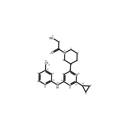 N#CCC(=O)N1CCCC(c2cc(Nc3cc(C(F)(F)F)ccn3)nc(C3CC3)n2)C1